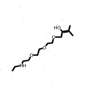 CCNCCOCCOCCOCC(O)=C(C)C